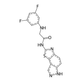 O=C(CNc1cc(F)cc(F)c1)Nc1nc2ccc3[nH]ncc3c2s1